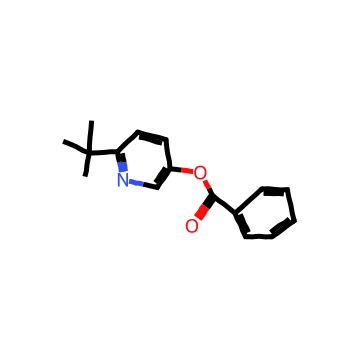 CC(C)(C)c1ccc(OC(=O)c2ccccc2)cn1